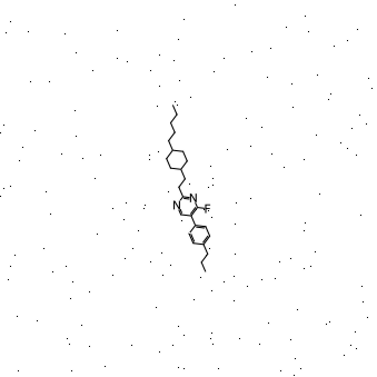 CCCCCC1CCC(CCc2ncc(-c3ccc(CCC)cc3)c(F)n2)CC1